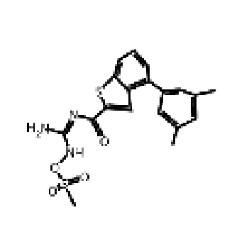 Cc1cc(C)cc(-c2cccc3sc(C(=O)N=C(N)NOS(C)(=O)=O)cc23)c1